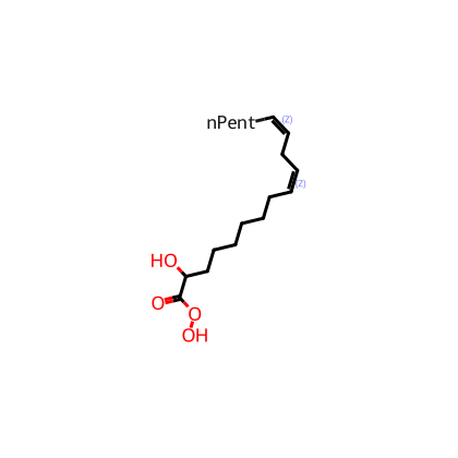 CCCCC/C=C\C/C=C\CCCCCCC(O)C(=O)OO